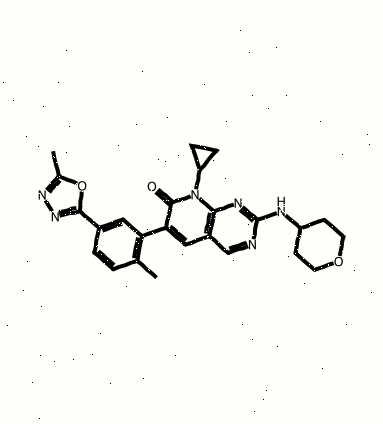 Cc1nnc(-c2ccc(C)c(-c3cc4cnc(NC5CCOCC5)nc4n(C4CC4)c3=O)c2)o1